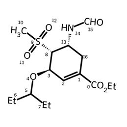 CCOC(=O)C1=C[C@@H](OC(CC)CC)[C@H](S(C)(=O)=O)[C@H](NC=O)C1